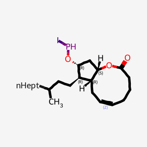 CCCCCCCC(C)CC[C@@H]1[C@H]2C/C=C\CCCC(=O)O[C@H]2C[C@H]1OPI